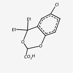 CCC1(CC)OC(C(=O)O)Oc2ccc(Cl)cc21